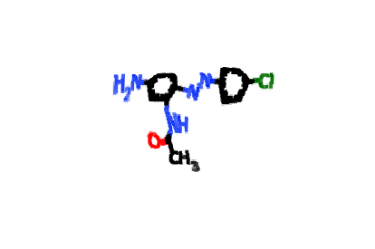 CC(=O)Nc1cc(N)ccc1N=Nc1ccc(Cl)cc1